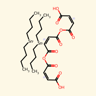 CCC[CH2][Sn][CH2]CCC.CCC[CH2][Sn][CH2]CCC.O=C(O)/C=C\C(=O)OC(=O)/C=C\C(=O)OC(=O)/C=C\C(=O)O